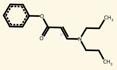 CCCN(/C=C/C(=O)Oc1ccccc1)CCC